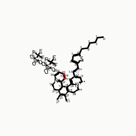 CCCCCCc1ccc(/C=C/c2cc[n+]3c(c2)-c2c(c(C)c(C)c4c2-c2c5ccccc5cc[n+]2CC4)CC3)s1.O=S(=O)([O-])C(F)(F)F.O=S(=O)([O-])C(F)(F)F